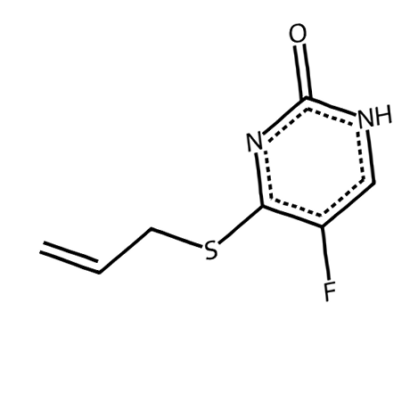 C=CCSc1nc(=O)[nH]cc1F